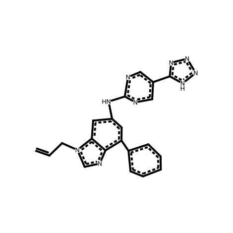 C=CCn1cnc2c(-c3ccccc3)cc(Nc3ncc(-c4nnn[nH]4)cn3)cc21